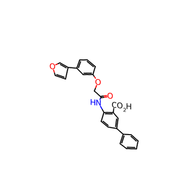 O=C(COc1cccc(-c2ccoc2)c1)Nc1ccc(-c2ccccc2)cc1C(=O)O